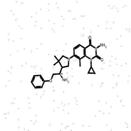 Cc1c(N2CC([C@@H](N)COc3ccccc3)C(C)(C)C2)ccc2c(=O)n(N)c(=O)n(C3CC3)c12